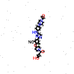 N#Cc1cc(-c2nccc(Nc3ccc(N4CCN(C5COC5)CC4)cc3)n2)ccc1O[C@H]1CCN(C(=O)C2CC(O)C2)C[C@H]1F